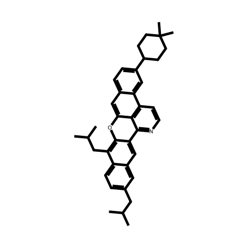 CC(C)Cc1ccc2c(CC(C)C)c3c(cc2c1)-c1nccc2c1c(cc1ccc(C4CCC(C)(C)CC4)cc12)O3